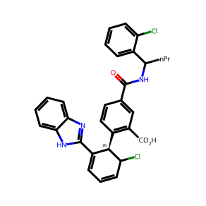 CCCC(NC(=O)c1ccc([C@@H]2C(c3nc4ccccc4[nH]3)=CC=CC2Cl)c(C(=O)O)c1)c1ccccc1Cl